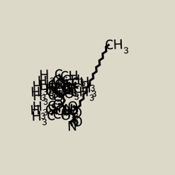 CCCCCCCCCCCCCCCCCCCC(=O)OC(c1cnco1)c1nc(C(CC(O[Si](C)(C)C(C)(C)C)C(O[Si](C)(C)C(C)(C)C)C(C)O[Si](C)(C)C(C)(C)C)O[Si](C)(C)C(C)(C)C)co1